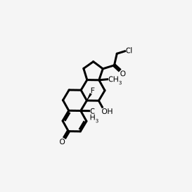 CC12CC(O)[C@@]3(F)C(CCC4=CC(=O)C=CC43C)C1CCC2C(=O)CCl